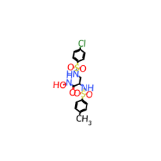 Cc1ccc(S(=O)(=O)NC(CNS(=O)(=O)c2ccc(Cl)cc2)C(=O)NO)cc1